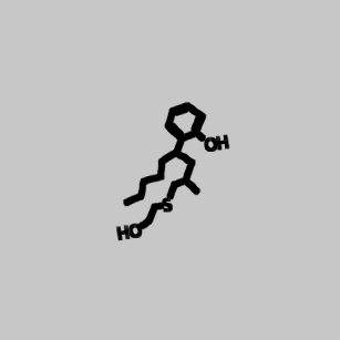 CCCCCC(CC(C)CSCCO)c1ccccc1O